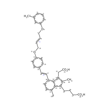 Cc1cccc(OC/C=C/COc2ccc(/C=C/c3ccc(F)c4c(CCCC(=O)O)c(C)n(CC(=O)O)c34)cc2)c1